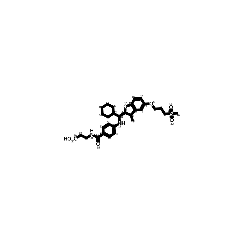 CC1c2cc(OCCCS(C)(=O)=O)ccc2OC1C(Nc1ccc(C(=O)NCCC(=O)O)cc1)C1CCCCC1